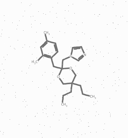 CCCC1(CCC)COC(Cc2ccc(C)cc2C)(Cn2ccnc2)OC1